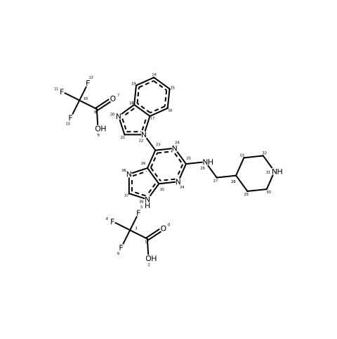 O=C(O)C(F)(F)F.O=C(O)C(F)(F)F.c1ccc2c(c1)ncn2-c1nc(NCC2CCNCC2)nc2[nH]cnc12